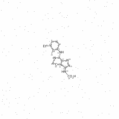 CCc1cccc(Nc2nccn3c(NC(=O)O)nnc23)c1C